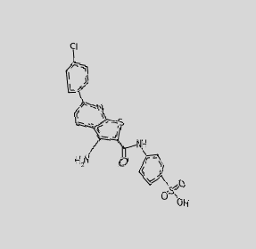 Nc1c(C(=O)Nc2ccc(S(=O)(=O)O)cc2)sc2nc(-c3ccc(Cl)cc3)ccc12